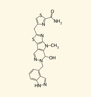 Cn1c2c(c3sc(Cc4csc(C(N)=O)n4)nc31)C=NN(Cc1cccc3[nH]ncc13)C2O